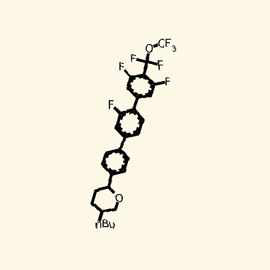 CCCCC1CCC(c2ccc(-c3ccc(-c4cc(F)c(C(F)(F)OC(F)(F)F)c(F)c4)c(F)c3)cc2)OC1